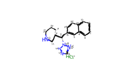 Cl.c1ccc2cc([C@@H]([C@H]3CCCNC3)n3ncnn3)ccc2c1